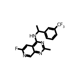 Cc1nc(NC(C)c2cccc(C(F)(F)F)c2)c2cc(F)ncc2n1